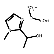 CC(O)c1nccn1C.CCCCCCCCOS(=O)(=O)O